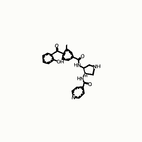 Cc1cc(C(=O)NC2CNC[C@H]2NC(=O)c2ccncc2)ccc1C(=O)c1ccccc1O